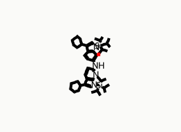 CC(C)[Si](C(C)C)(C(C)C)n1cc(C2CCCCC2)c2ccc(Nc3ccc4c(C5CCCCC5)cn([Si](C(C)C)(C(C)C)C(C)C)c4n3)cc21